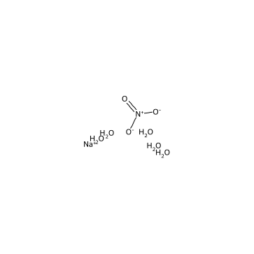 O.O.O.O.O.O=[N+]([O-])[O-].[Na+]